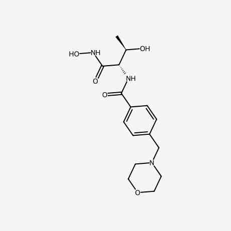 C[C@@H](O)[C@H](NC(=O)c1ccc(CN2CCOCC2)cc1)C(=O)NO